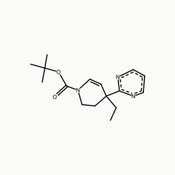 CCC1(c2ncccn2)C=CN(C(=O)OC(C)(C)C)CC1